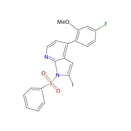 COc1cc(F)ccc1-c1ccnc2c1cc(I)n2S(=O)(=O)c1ccccc1